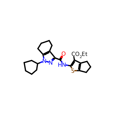 CCOC(=O)c1c(NC(=O)c2nn(C3CCCCC3)c3c2CCCC3)sc2c1CCC2